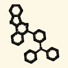 c1ccc(P(c2ccccc2)c2cccc(-c3nc4c5ccccc5sc4c4ccccc34)c2)cc1